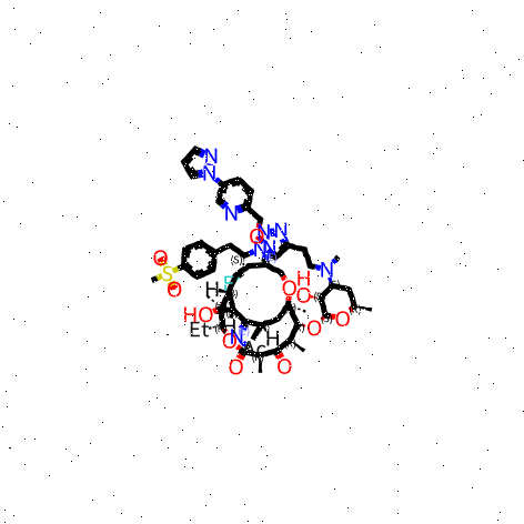 CC[C@H]1OC(=O)[C@H](C)C(=O)[C@H](C)[C@@H](O[C@@H]2O[C@H](C)C[C@H](N(C)CCc3cn([C@H](CF)Cc4ccc(S(C)(=O)=O)cc4)nn3)[C@H]2O)[C@@]2(C)C[C@@H](C)/C(=N\C(C)=O)[C@H](C)[C@@H](CC/C(=N\OCc3ccc(-n4cccn4)cn3)CO2)[C@]1(C)O